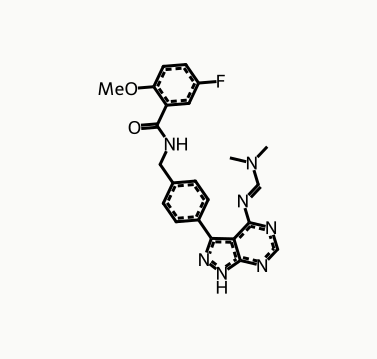 COc1ccc(F)cc1C(=O)NCc1ccc(-c2n[nH]c3ncnc(N=CN(C)C)c23)cc1